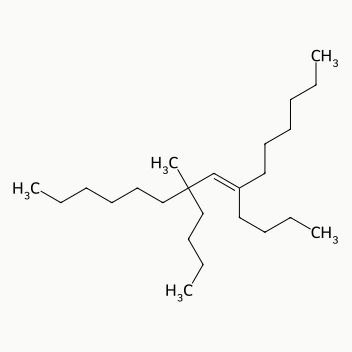 CCCCCCC(=CC(C)(CCCC)CCCCCC)CCCC